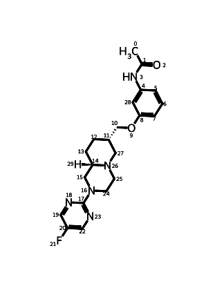 CC(=O)Nc1cccc(OC[C@H]2CC[C@H]3CN(c4ncc(F)cn4)CCN3C2)c1